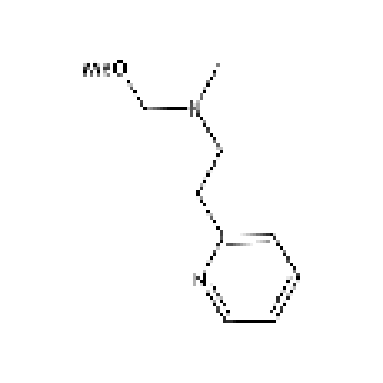 COCN(C)CCc1ccccn1